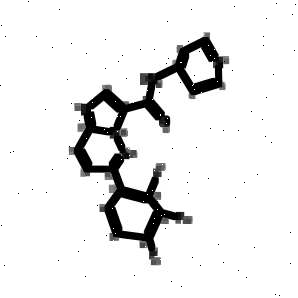 O=C(Nc1ccncc1)c1cnc2ccc(-c3ccc(F)c(F)c3F)nn12